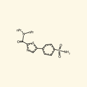 CCCN(CCC)C(=O)c1ncc(-c2ccc(S(N)(=O)=O)cc2)s1